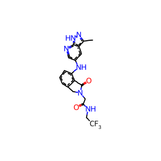 Cc1n[nH]c2ncc(Nc3cccc4c3C(=O)N(CC(=O)NCC(F)(F)F)C4)cc12